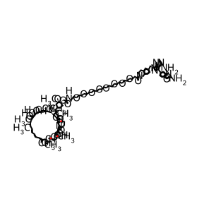 CO[C@H]1C[C@@H]2CC[C@@H](C)[C@@](O)(O2)C(=O)C(=O)N2CCCC[C@H]2C(=O)O[C@H]([C@H](C)C[C@@H]2CC[C@@H](OC(=O)NCCOCCOCCOCCOCCOCCOCCOCCOCCC(=O)N3CCc4cc(Cn5nc(-c6ccc7oc(N)nc7c6)c6c(N)ncnc65)ccc4C3)[C@H](OC)C2)C[C@@H](OC)[C@H](C)/C=C(\C)[C@@H](O)[C@@H](O)C(=O)[C@H](C)C[C@H](C)/C=C/C=C/C=C/1C